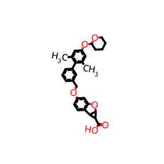 Cc1cc(OC2CCCCO2)cc(C)c1-c1cccc(COc2ccc3c(c2)OC2C(C(=O)O)C32)c1